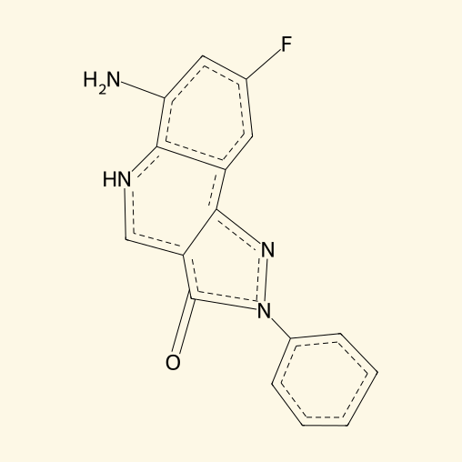 Nc1cc(F)cc2c3nn(-c4ccccc4)c(=O)c-3c[nH]c12